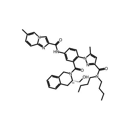 CCCCN(CCCC)C(=O)c1cc(C)n(-c2ccc(NC(=O)c3cn4cc(C)ccc4n3)cc2C(=O)N2Cc3ccccc3C[C@H]2CO)n1